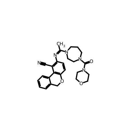 CC(=Nc1ccc2c(c1C#N)-c1ccccc1CO2)N1CCCN(C(=O)N2CCOCC2)CC1